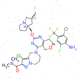 CN(C)C(=O)c1nn2c(c1Cl)CN(c1nc(OC[C@@]34CCCN3C/C(=C\F)C4)nc3c1CO[C@@H](c1c(F)c(N)cc(Cl)c1C(F)(F)F)C3)CCC2